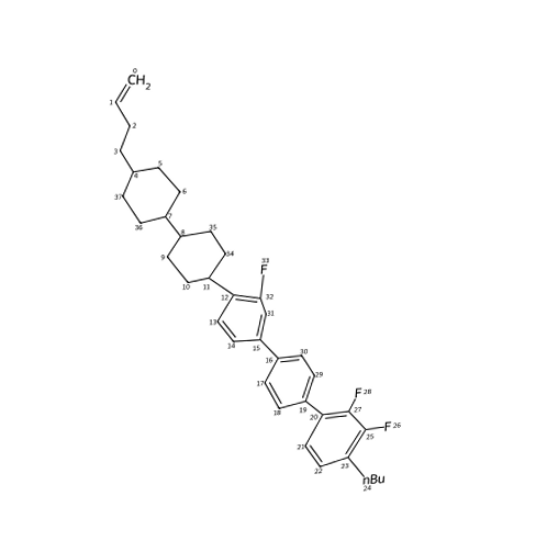 C=CCCC1CCC(C2CCC(c3ccc(-c4ccc(-c5ccc(CCCC)c(F)c5F)cc4)cc3F)CC2)CC1